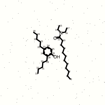 CCCCCCCCCCCC(=O)N(CC)CC.CCCCCc1ccc(O)c(CCCCC)c1